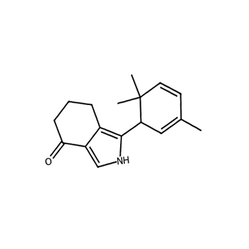 CC1=CC(c2[nH]cc3c2CCCC3=O)C(C)(C)C=C1